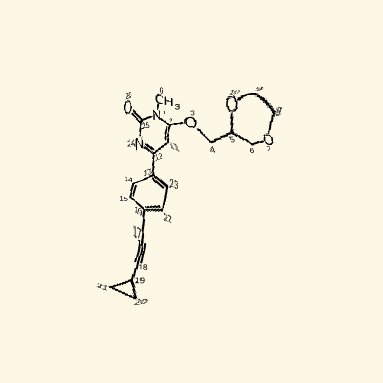 Cn1c(OCC2COCCO2)cc(-c2ccc(C#CC3CC3)cc2)nc1=O